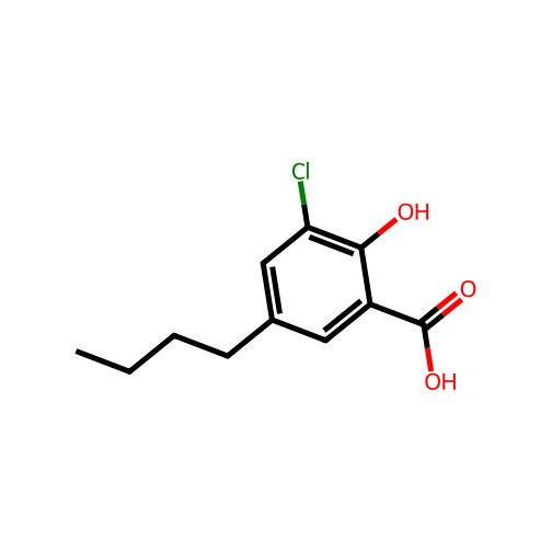 CCCCc1cc(Cl)c(O)c(C(=O)O)c1